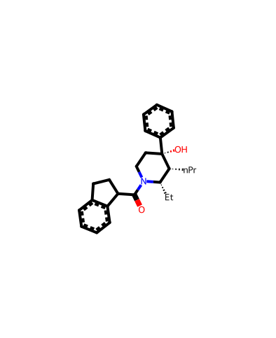 CCC[C@@H]1[C@H](CC)N(C(=O)C2CCc3ccccc32)CC[C@@]1(O)c1ccccc1